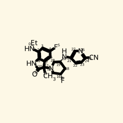 CCNc1cc(F)cc2c1NC(=O)C2(C)N1C[C@@H](F)C[C@@H](Nc2ccc(C#N)nc2)C1